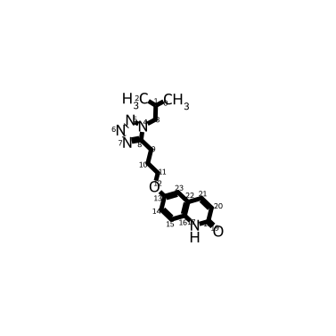 CC(C)Cn1nnnc1CCCOc1ccc2[nH]c(=O)ccc2c1